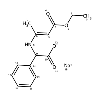 CCOC(=O)C=C(C)NC(C(=O)[O-])c1ccccc1.[Na+]